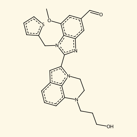 COc1cc(C=O)cc2nc(-c3cc4cccc5c4n3CCN5CCCO)n(Cc3cccs3)c12